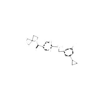 O=C(c1cnc(NCc2cc(C3CC3)cc(C(F)(F)F)c2)nc1)N1CCC12COC2